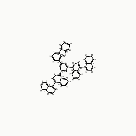 c1ccc2c(-c3ccc(-c4nc(-c5ccc(-c6cccc7ccccc67)c6ccccc56)nc(-c5cccc6c5oc5ccccc56)n4)c4ccccc34)cccc2c1